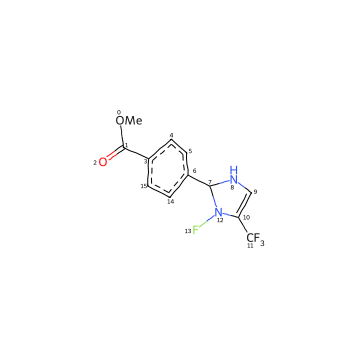 COC(=O)c1ccc(C2NC=C(C(F)(F)F)N2F)cc1